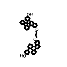 Oc1ccc(-c2ccccc2-c2ccccc2-c2ccc3ccc(OCCCCOc4ccc5ccc(C6(c7ccc(O)cc7)c7ccccc7-c7ccccc76)cc5c4)cc3c2)cc1